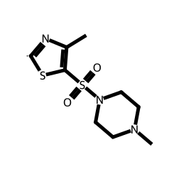 Cc1n[c]sc1S(=O)(=O)N1CCN(C)CC1